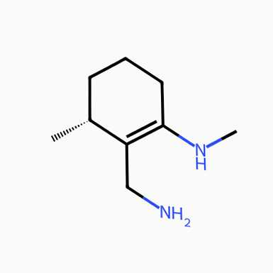 CNC1=C(CN)[C@H](C)CCC1